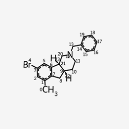 Cc1cc(Br)cc2c1C[C@H]1CCN(Cc3ccccc3)C[C@@H]21